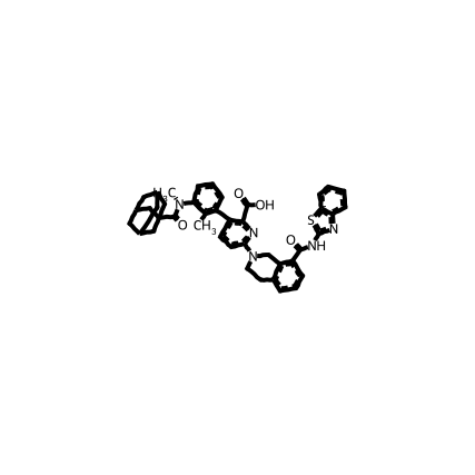 Cc1c(-c2ccc(N3CCc4cccc(C(=O)Nc5nc6ccccc6s5)c4C3)nc2C(=O)O)cccc1N(C)C(=O)C12CC3CC(CC(C3)C1)C2